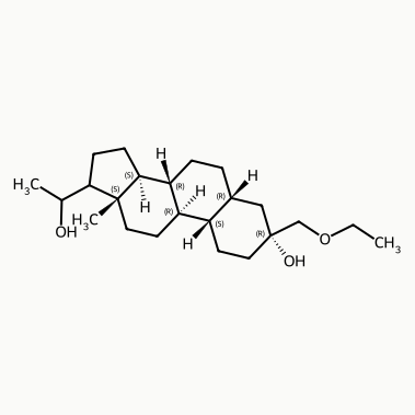 CCOC[C@@]1(O)CC[C@H]2[C@H](CC[C@@H]3[C@@H]2CC[C@]2(C)C(C(C)O)CC[C@@H]32)C1